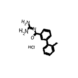 Cc1ccccc1-c1cccc(C(=O)N=C(N)N)c1.Cl